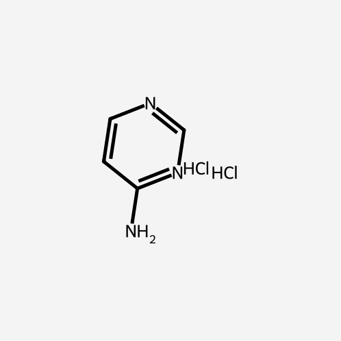 Cl.Cl.Nc1ccncn1